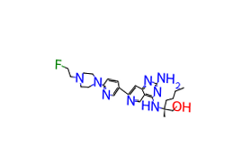 CCCC[C@](C)(CO)Nc1nc(N)nc2cc(-c3ccc(N4CCN(CCF)CC4)nc3)ncc12